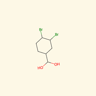 OC(O)C1CCC(Br)C(Br)C1